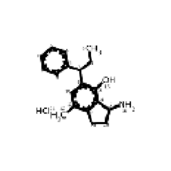 CCC(c1ccccc1)c1cc(C)c2c(c1O)C(N)CC2.Cl